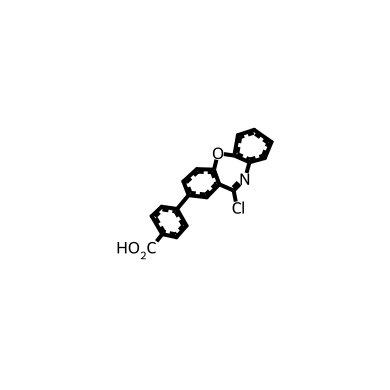 O=C(O)c1ccc(-c2ccc3c(c2)C(Cl)=Nc2ccccc2O3)cc1